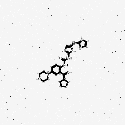 O=C(Nc1ncc(Sc2ncc[nH]2)s1)Nc1ccc(N2CCOCC2)cc1C(=O)C1CCCC1